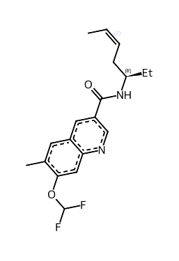 C/C=C\C[C@@H](CC)NC(=O)c1cnc2cc(OC(F)F)c(C)cc2c1